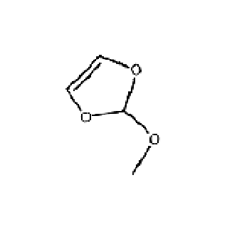 COC1OC=CO1